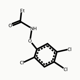 CCC(=O)NOc1cc(Cl)c(Cl)cc1Cl